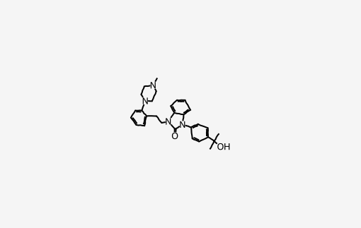 CN1CCN(c2ccccc2CCn2c(=O)n(-c3ccc(C(C)(C)O)cc3)c3ccccc32)CC1